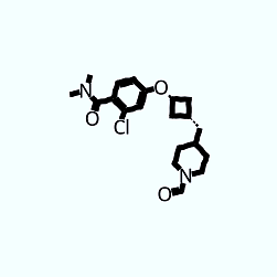 CN(C)C(=O)c1ccc(O[C@H]2C[C@@H](CC3CCN(C=O)CC3)C2)cc1Cl